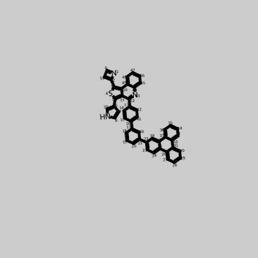 C1=NC(c2sc(-c3cc[nH]c3)c3c(-c4ccc(-c5cccc(-c6ccc7c8ccccc8c8ccccc8c7c6)c5)cc4)nc4ccccc4c23)=C1